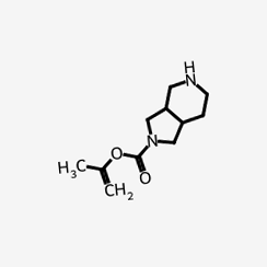 C=C(C)OC(=O)N1CC2CCNCC2C1